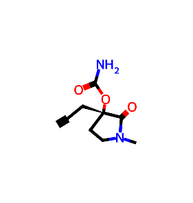 C#CC[C@]1(OC(N)=O)CCN(C)C1=O